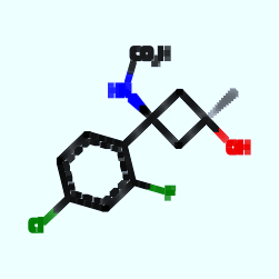 C[C@]1(O)C[C@](NC(=O)O)(c2ccc(Cl)cc2F)C1